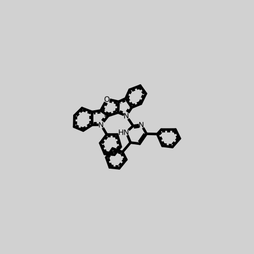 C1=C(c2ccccc2)N=C(n2c3ccccc3c3oc4c5ccccc5n(-c5ccccc5)c4c32)NC1c1ccccc1